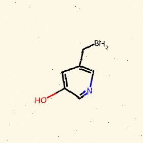 BCc1cncc(O)c1